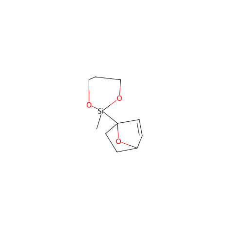 C[Si]1(C23C=CC(CC2)O3)OCCCO1